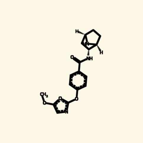 COc1cnc(Oc2ccc(C(=O)N[C@@H]3C[C@H]4CC[C@@H]3N4)cc2)o1